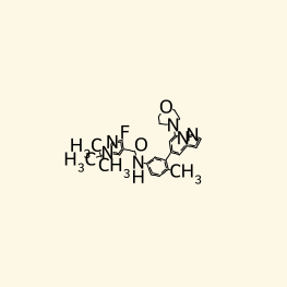 Cc1ccc(NC(=O)c2cn(C(C)(C)C)nc2F)cc1-c1cc(N2CCOCC2)n2nccc2c1